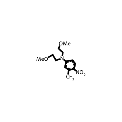 COCCN(CCOC)c1ccc([N+](=O)[O-])c(C(F)(F)F)c1